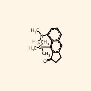 CN(C)c1cccc2cc3c(c([Si](C)(C)C)c12)C(=O)CC3